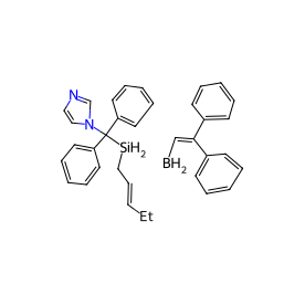 BC=C(c1ccccc1)c1ccccc1.CCC=CC[SiH2]C(c1ccccc1)(c1ccccc1)n1ccnc1